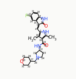 Cc1[nH]c(/C=C2\C(=O)Nc3ccc(F)cc32)c(C)c1C(=O)N[C@H]1CCN(CC2CCOCC2)C1